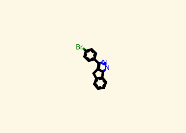 Brc1ccc(C2=C3Cc4ccccc4C3N=N2)cc1